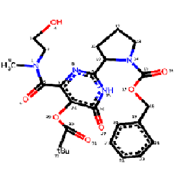 CN(CCO)C(=O)c1nc(C2CCCN2C(=O)OCc2ccccc2)[nH]c(=O)c1OC(=O)C(C)(C)C